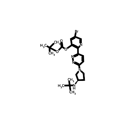 CC(C)(C)N[C@@H]1CCN(c2ccc(-c3ncc(Br)cc3OC(=O)OC(C)(C)C)nn2)C1